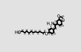 N/C(=C\c1ccc(OCCCCCCCCCCCO)cc1)c1ccc2c(c1)OCO2